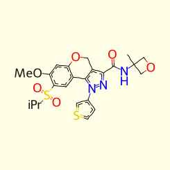 COc1cc2c(cc1S(=O)(=O)C(C)C)-c1c(c(C(=O)NC3(C)COC3)nn1-c1ccsc1)CO2